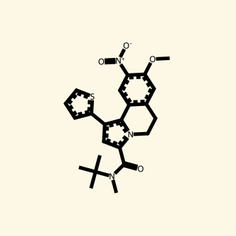 COc1cc2c(cc1[N+](=O)[O-])-c1c(-c3cccs3)cc(C(=O)N(C)C(C)(C)C)n1CC2